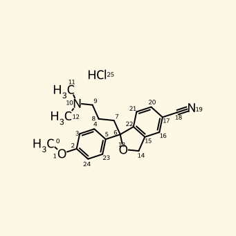 COc1ccc(C2(CCCN(C)C)OCc3cc(C#N)ccc32)cc1.Cl